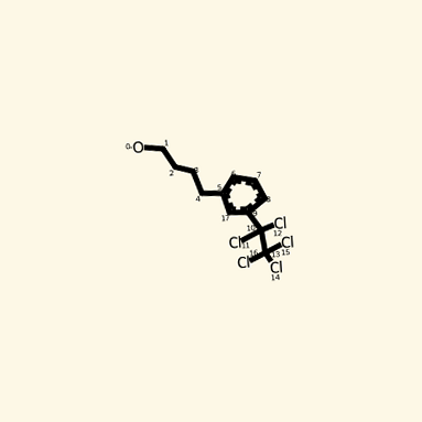 [O]CCCCc1cccc(C(Cl)(Cl)C(Cl)(Cl)Cl)c1